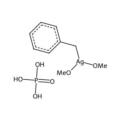 C[O][Ag]([CH2]c1ccccc1)[O]C.O=P(O)(O)O